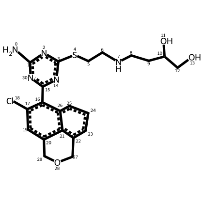 Nc1nc(SCCNCCC(O)CO)nc(-c2c(Cl)cc3c4c(cccc24)COC3)n1